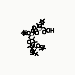 CC[C@H](OC)[C@H](C[C@@H](CC(=O)O)O[Si](C)(C)C(C)(C)C)OC(=O)C[C@H](C[C@H](O[C@@H]1O[C@@H](CO[Si](C)(C)C(C)(C)C)C(O[Si](C)(C)C(C)(C)C)C1C)[C@@H](C)CC)O[Si](C)(C)C(C)(C)C